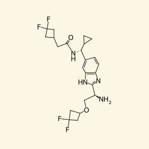 N[C@@H](COC1CC(F)(F)C1)c1nc2ccc([C@H](NC(=O)CC3CC(F)(F)C3)C3CC3)cc2[nH]1